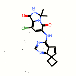 CC1(C)NC(=O)c2c(Cl)cc(Nc3ncnc4c3C=CC43CCC3)c(=O)n21